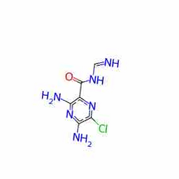 N=CNC(=O)c1nc(Cl)c(N)nc1N